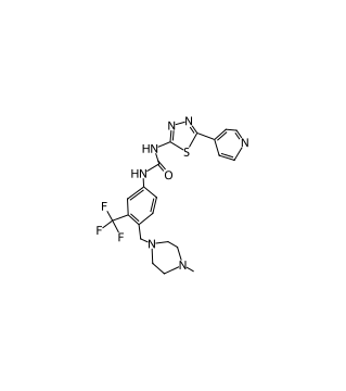 CN1CCN(Cc2ccc(NC(=O)Nc3nnc(-c4ccncc4)s3)cc2C(F)(F)F)CC1